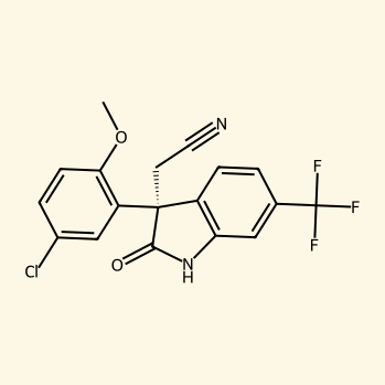 COc1ccc(Cl)cc1[C@]1(CC#N)C(=O)Nc2cc(C(F)(F)F)ccc21